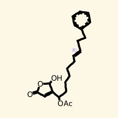 CC(=O)OC(CCCCC/C=C/CCc1ccccc1)C1=CC(=O)OC1O